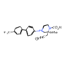 CNC1(CC=O)CN(c2ccc(-c3ccc(C(F)(F)F)cc3)cc2)CCN1C(=O)O